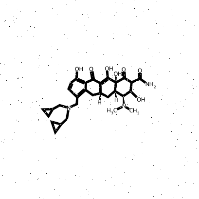 CN(C)[C@@H]1C(O)C(C(N)=O)C(=O)[C@@]2(O)C(O)=C3C(=O)c4c(O)ccc(CN(CC5CC5)CC5CC5)c4C[C@H]3C[C@@H]12